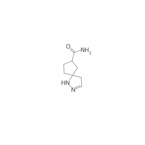 NC(=O)C1CCC2(CC=NN2)C1